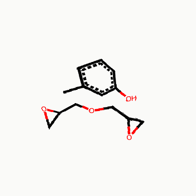 C(OCC1CO1)C1CO1.Cc1cccc(O)c1